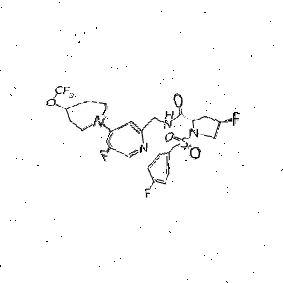 O=C(NCc1cc(N2CCC(OC(F)(F)F)CC2)c(F)cn1)[C@@H]1C[C@@H](F)CN1S(=O)(=O)c1ccc(F)cc1